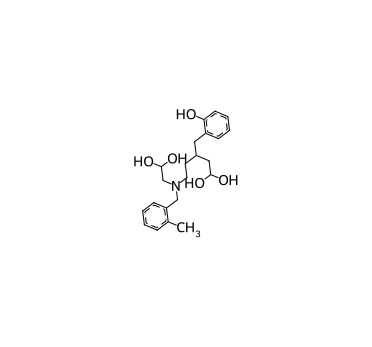 Cc1ccccc1CN(CCC(Cc1ccccc1O)CC(O)O)CC(O)O